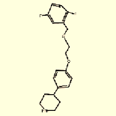 Fc1ccc(F)c(COCCOc2ccc(C3CCNCC3)cc2)c1